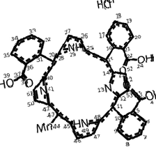 Cl.Cl.O=C(O)c1ccccc1-c1c2nc(c(-c3ccccc3C(=O)O)c3ccc([nH]3)c(-c3ccccc3C(=O)O)c3nc([c]([Mn])c4ccc1[nH]4)C=C3)C=C2